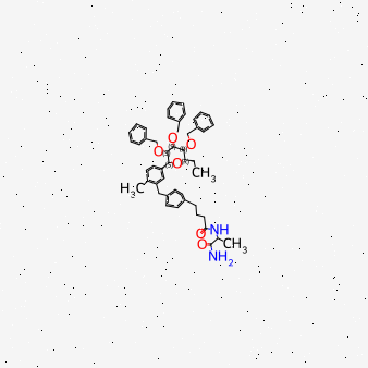 CC[C@H]1O[C@@H](c2ccc(C)c(Cc3ccc(CCCC(=O)NC(C)C(N)=O)cc3)c2)[C@H](OCc2ccccc2)[C@@H](OCc2ccccc2)[C@@H]1OCc1ccccc1